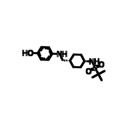 CC(C)(C)S(=O)(=O)N[C@H]1CC[C@H](CNc2ccc(O)cc2)CC1